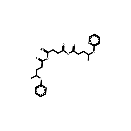 CC(CCC(=O)OC(=N)CCC(=O)OC(=O)CCC(C)Sc1ccccn1)Sc1ccccn1